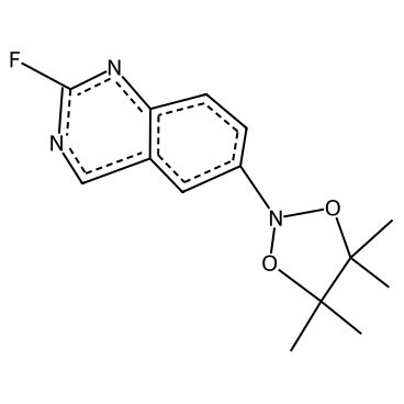 CC1(C)ON(c2ccc3nc(F)ncc3c2)OC1(C)C